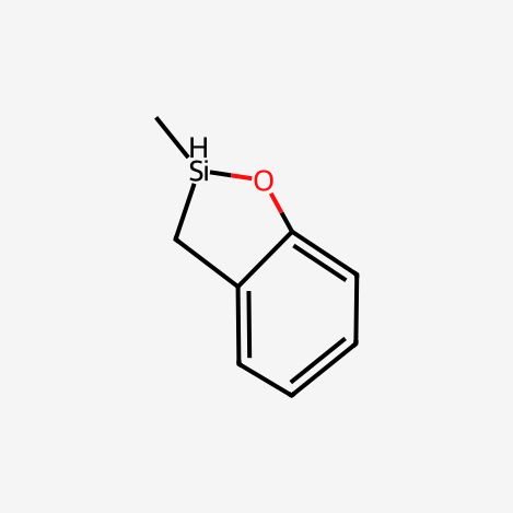 C[SiH]1Cc2ccccc2O1